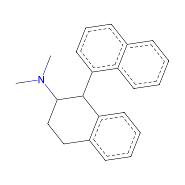 CN(C)C1CCc2ccccc2C1c1cccc2ccccc12